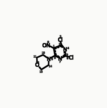 O=Nc1c(Cl)nc(Cl)nc1N1CCOCC1